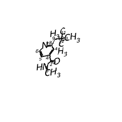 CNC(=O)c1ccnc(CC(C)(C)C)c1